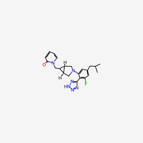 CC(C)Cc1cc(F)c(-c2nn[nH]n2)c(N2C[C@@H]3C(Cn4ccccc4=O)[C@@H]3C2)c1